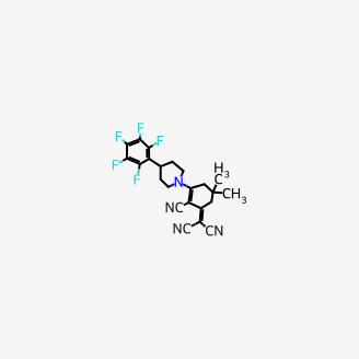 CC1(C)CC(=C(C#N)C#N)C(C#N)=C(N2CCC(c3c(F)c(F)c(F)c(F)c3F)CC2)C1